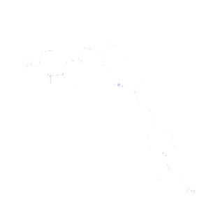 CC(C)(C)OC(=O)N1CCC(OCC(=O)Nc2cccc3c2CN(C2CCC(=O)NC2=O)C3=O)CC1